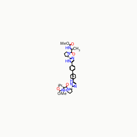 COC(=O)N[C@@H](C)C(=O)N1CCC[C@H]1c1ncc(-c2ccc(C34CCC(c5cnc([C@@H]6CCCN6C(=O)[C@@H](NC(=O)OC)C(C)C)[nH]5)(CC3)CC4)cc2)[nH]1